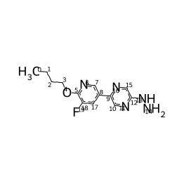 CCCCOc1ncc(-c2cnc(NN)cn2)cc1F